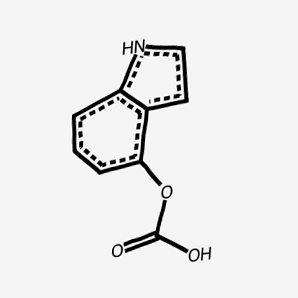 O=C(O)Oc1cccc2[nH]ccc12